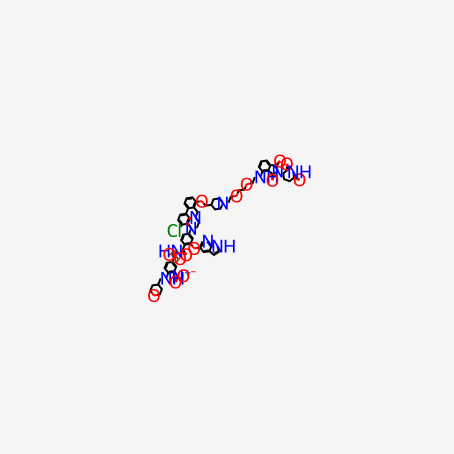 O=C1CCC(N2C(=O)c3cccc(NCCOCCOCCN4CCC(COc5cccc(-c6ccc(Cl)cc6)c5CN5CCN(c6ccc(C(=O)NS(=O)(=O)c7ccc(NCC8CCOCC8)c([N+](=O)[O-])c7)c(Oc7cnc8[nH]ccc8c7)c6)CC5)CC4)c3C2=O)C(=O)N1